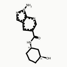 Nn1ncc2cc(C(=O)N[C@@H]3CCC[C@H](O)C3)cnc21